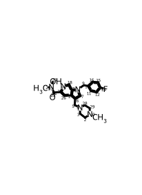 CN1CCN(Cc2cn(Cc3ccc(F)cc3)c3cnc(C(=O)N(C)O)cc23)CC1